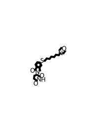 O=C1CCC(N2Cc3cc(SCCCCCCCN4CCOCC4)ccc3C2=O)C(=O)N1